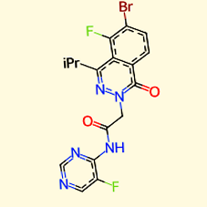 CC(C)c1nn(CC(=O)Nc2ncncc2F)c(=O)c2ccc(Br)c(F)c12